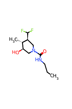 CCCNC(=O)N1C[C@@H](O)[C@H](C)[C@@H](C(F)F)C1